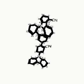 N#Cc1cc(-n2c3ccccc3c3ccccc32)ccc1-c1cccc(C2=C(n3c4ccccc4c4c(C#N)cccc43)CCC=C2)c1